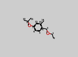 CCOCc1ccc(OC(C)C)cc1C